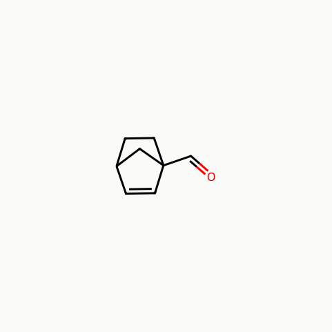 O=CC12C=CC(CC1)C2